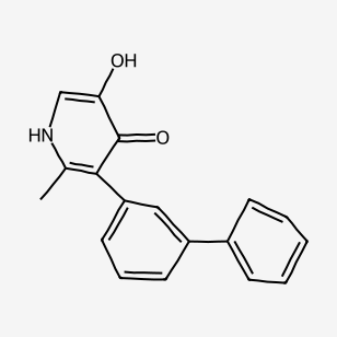 Cc1[nH]cc(O)c(=O)c1-c1cccc(-c2ccccc2)c1